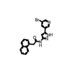 O=C(Cc1cccc2ccccc12)Nc1cc(-c2cncc(Br)c2)[nH]n1